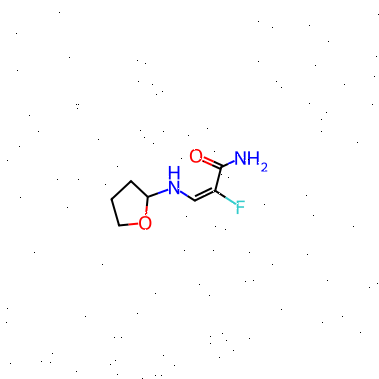 NC(=O)/C(F)=C\NC1CCCO1